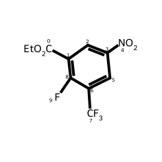 CCOC(=O)c1cc([N+](=O)[O-])cc(C(F)(F)F)c1F